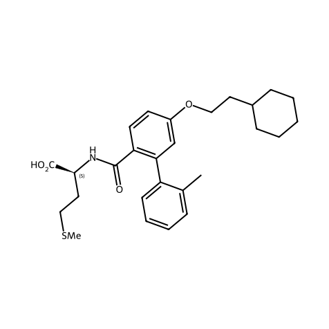 CSCC[C@H](NC(=O)c1ccc(OCCC2CCCCC2)cc1-c1ccccc1C)C(=O)O